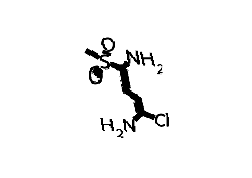 CS(=O)(=O)/C(N)=C/C=C(\N)Cl